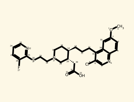 COc1ccc2ncc(Cl)c(CCC[C@@H]3CCN(CCSc4ncccc4F)C[C@H]3CC(=O)O)c2c1